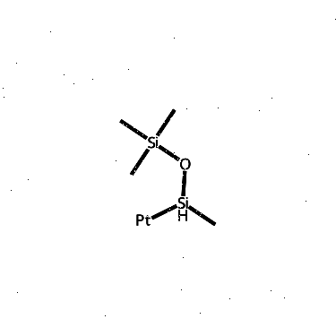 C[SiH]([Pt])O[Si](C)(C)C